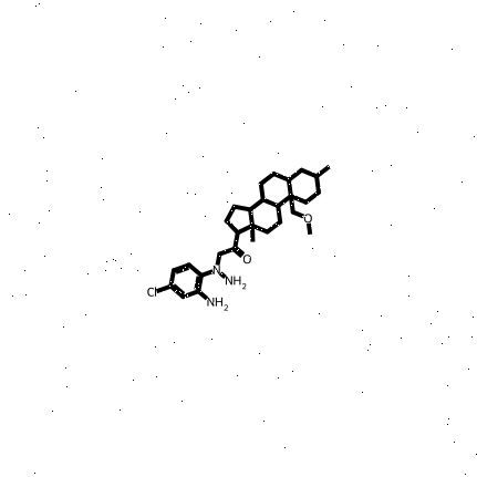 COCC12CCC(C)CC1CCC1C3CCC(C(=O)CN(N)c4ccc(Cl)cc4N)C3(C)CCC12